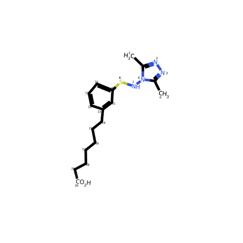 Cc1nnc(C)n1NSc1cccc(CCCCCCC(=O)O)c1